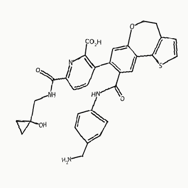 NCc1ccc(NC(=O)c2cc3c(cc2-c2ccc(C(=O)NCC4(O)CC4)nc2C(=O)O)OCCc2ccsc2-3)cc1